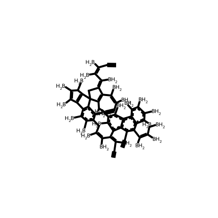 BC/C(B)=C(/B)c1c(C#C)c2c(C(/C(B)=C(/B)Cc3c(B)c(B)c4c(c3B)C3(C/C(=C(B)\C(B)=C(\B)C#C)C5=C3C(B)C#CC(B)=C5B)C3=C4C(B)=C(B)C3B)=C(\B)C#C)c(B)c(B)c(B)c2c2c(B)c(B)c(B)c(B)c12